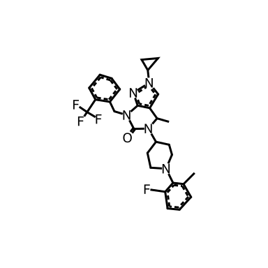 Cc1cccc(F)c1N1CCC(N2C(=O)N(Cc3ccccc3C(F)(F)F)c3nn(C4CC4)cc3C2C)CC1